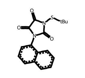 CC(C)(C)SN1C(=O)C(=O)N(c2cccc3ccccc23)C1=O